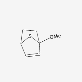 COC12C=CC(CC1)S2